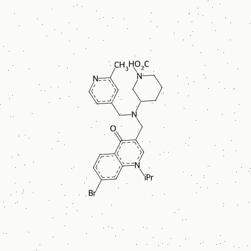 Cc1cc(CN(Cc2cn(C(C)C)c3cc(Br)ccc3c2=O)C2CCCN(C(=O)O)C2)ccn1